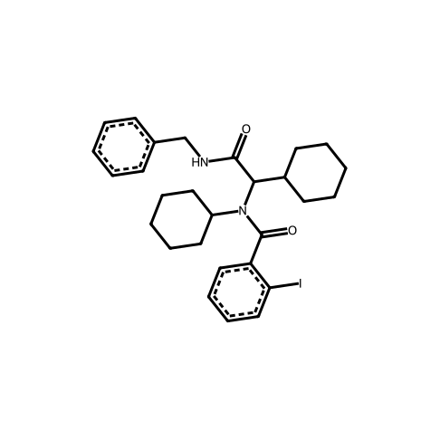 O=C(NCc1ccccc1)C(C1CCCCC1)N(C(=O)c1ccccc1I)C1CCCCC1